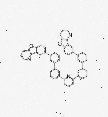 c1cc(-c2cccc(-c3cccc(-c4cccc(-c5cccc(-c6ccc7oc8cccnc8c7c6)c5)c4)n3)c2)cc(-c2ccc3oc4cccnc4c3c2)c1